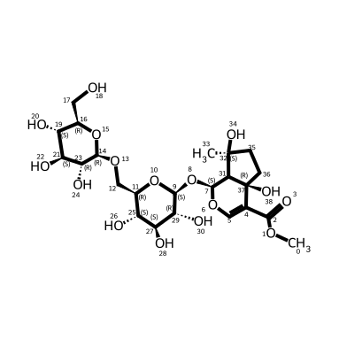 COC(=O)C1=CO[C@@H](O[C@@H]2O[C@H](CO[C@@H]3O[C@H](CO)[C@@H](O)[C@H](O)[C@H]3O)[C@@H](O)[C@H](O)[C@H]2O)C2[C@@](C)(O)CC[C@]12O